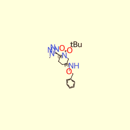 Cn1nnnc1[C@@H]1CC[C@@H](NOCc2ccccc2)CN1C(=O)OC(C)(C)C